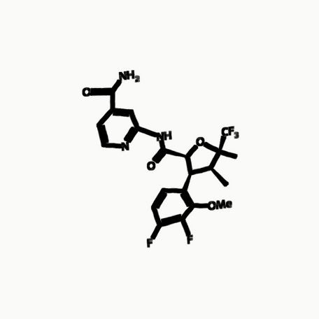 COc1c([C@H]2[C@@H](C(=O)Nc3cc(C(N)=O)ccn3)O[C@@](C)(C(F)(F)F)[C@H]2C)ccc(F)c1F